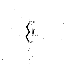 CCCCCCCCCCCC(=O)O.CCCCC[CH2][Na]